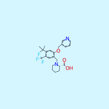 CC(C)(C)c1cc(OCc2cccnc2)c(CN2CCCC[C@H]2C(=O)O)cc1C(F)(F)F